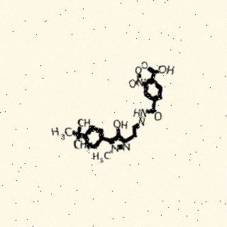 Cn1nc(CC=NNC(=O)c2ccc(C(=O)O)c([N+](=O)[O-])c2)c(O)c1-c1ccc(C(C)(C)C)cc1